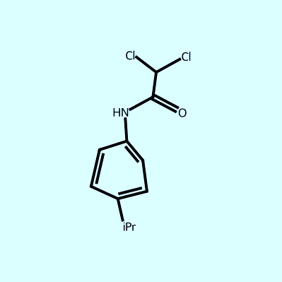 CC(C)c1ccc(NC(=O)C(Cl)Cl)cc1